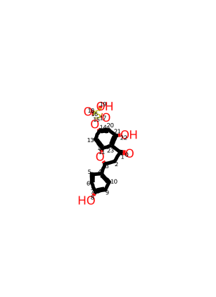 O=C1CC(c2ccc(O)cc2)Oc2cc(OS(=O)(=O)O)cc(O)c21